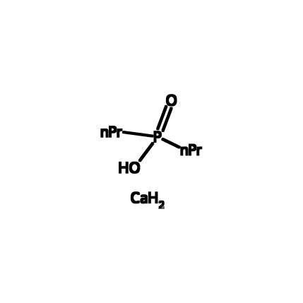 CCCP(=O)(O)CCC.[CaH2]